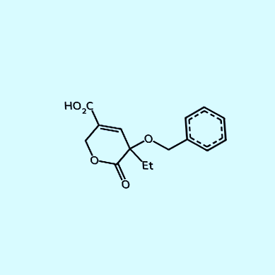 CCC1(OCc2ccccc2)C=C(C(=O)O)COC1=O